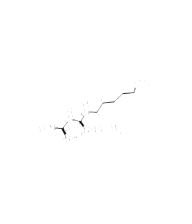 CCCCCCNC(=N)NC(=N)N.[PoH2]